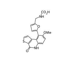 COc1ccc2[nH]c(=O)c3sccc3c2c1-c1ccc(CNC(=O)O)o1